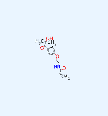 C=CC(=O)NCCOc1ccc(C(=O)C(C)(C)O)cc1